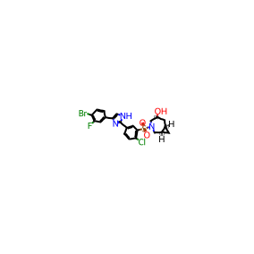 O=S(=O)(c1cc(-c2nc(-c3ccc(Br)c(F)c3)c[nH]2)ccc1Cl)N1C[C@@H](O)C[C@H]2C[C@H]2C1